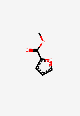 COC(=O)c1cc[c]o1